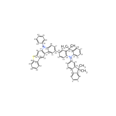 CC1(C)c2ccccc2-c2ccc(N3c4ccccc4C(C)(C)c4cc(-c5ccc6c(c5)c5cc7c(cc5n6-c5ccccc5)sc5ccccc57)ccc43)cc21